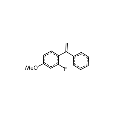 C=C(c1ccccc1)c1ccc(OC)cc1F